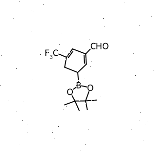 CC1(C)OB(C2C=C(C=O)C=C(C(F)(F)F)C2)OC1(C)C